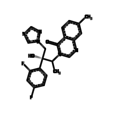 Cc1ccc2c(=O)n(C(C)[C@](O)(Cn3cncn3)c3ccc(F)cc3F)cnc2c1